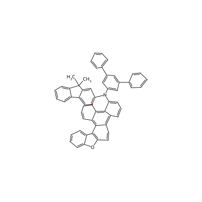 CC1(C)c2ccccc2-c2ccc(N(c3cc(-c4ccccc4)cc(-c4ccccc4)c3)c3cccc4c3c3c(c5c4ccc4oc6ccccc6c45)C=CCC3)cc21